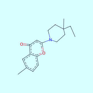 CCC1(C)CCN(c2cc(=O)c3cc(C)ccc3o2)CC1